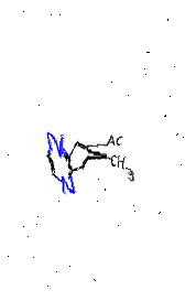 CC(=O)c1cc2nccnc2cc1C